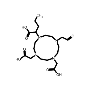 CCCC(C(=O)O)N1CCN(CC=O)CCN(CC(=O)O)CCN(CC(=O)O)CC1